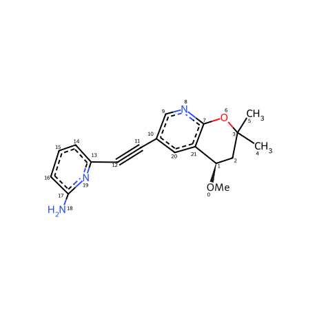 CO[C@@H]1CC(C)(C)Oc2ncc(C#Cc3cccc(N)n3)cc21